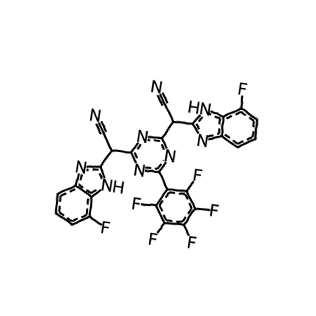 N#CC(c1nc(-c2c(F)c(F)c(F)c(F)c2F)nc(C(C#N)c2nc3cccc(F)c3[nH]2)n1)c1nc2cccc(F)c2[nH]1